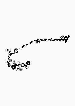 COc1cnc(-n2cnc(C(=O)NCCCN(CCO)CCCN3CCN(CCOCCOCCOCCOCc4cn(CCOCCOCCOCCOCCC(=O)Cc5c(F)cc(F)cc5F)nn4)CC3)n2)c2[nH]cc(C(=O)C(=O)N3CCC(=C(C#N)c4ccccc4)CC3)c12